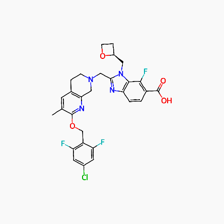 Cc1cc2c(nc1OCc1c(F)cc(Cl)cc1F)CN(Cc1nc3ccc(C(=O)O)c(F)c3n1C[C@@H]1CCO1)CC2